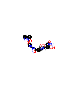 O=C(Nc1ccccc1-c1ccccc1)OC1CCN(CCNCC(=O)c2ccc(CNCC(O)c3ccc(O)c4[nH]c(=O)ccc34)c([N+](=O)[O-])c2)CC1